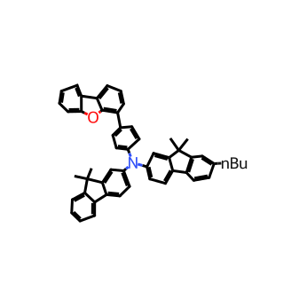 CCCCc1ccc2c(c1)C(C)(C)c1cc(N(c3ccc(-c4cccc5c4oc4ccccc45)cc3)c3ccc4c(c3)C(C)(C)c3ccccc3-4)ccc1-2